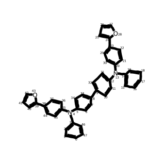 c1ccc(N(c2ccc(-c3ccc(N(c4ccccc4)c4ccc(-c5ccco5)cc4)cc3)cc2)c2ccc(-c3ccco3)cc2)cc1